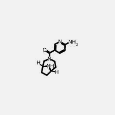 Nc1ccc(C(=O)N2CC[C@@H]3CC[C@H](C2)N3)cn1